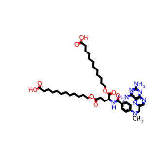 CN(Cc1cnc2nc(N)nc(N)c2n1)c1ccc(C(=O)N[C@@H](CCC(=O)OCCCCCCCCCCCC(=O)O)C(=O)OCCCCCCCCCCCC(=O)O)cc1